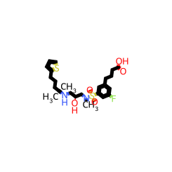 CN(C[C@H](O)CNC(C)(C)CCCc1cccs1)S(=O)(=O)c1cc(F)cc(CCCC(=O)O)c1